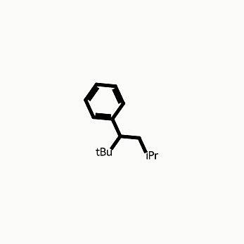 CC(C)CC(c1ccccc1)C(C)(C)C